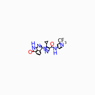 O=C(Nc1ccnc(C(F)(F)F)c1)c1cnn(-c2cnc3c4c(cccc24)C(=O)N3)c1C1CC1